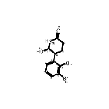 O=C1CCC(c2cccc(Br)c2Cl)C(O)N1